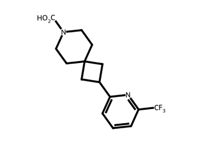 O=C(O)N1CCC2(CC1)CC(c1cccc(C(F)(F)F)n1)C2